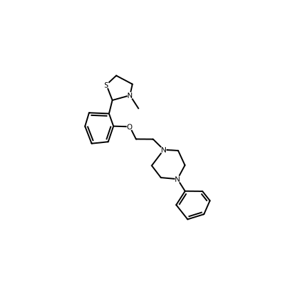 CN1CCSC1c1ccccc1OCCN1CCN(c2ccccc2)CC1